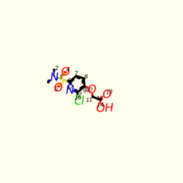 CN(C)S(=O)(=O)c1ccc(OCC(=O)O)c(Cl)n1